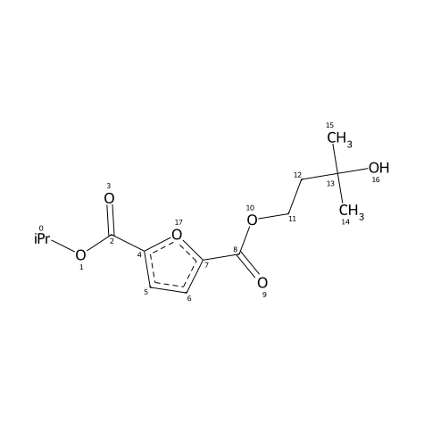 CC(C)OC(=O)c1ccc(C(=O)OCCC(C)(C)O)o1